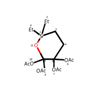 CC[Si]1(CC)CCC(OC(C)=O)(OC(C)=O)C(OC(C)=O)(OC(C)=O)O1